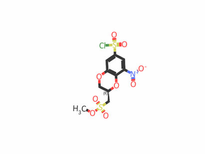 COS(=O)(=O)C[C@H]1COc2cc(S(=O)(=O)Cl)cc([N+](=O)[O-])c2O1